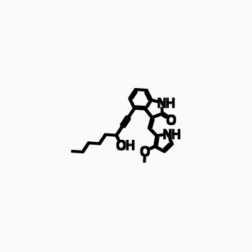 CCCCCC(O)C#Cc1cccc2c1/C(=C/c1[nH]ccc1OC)C(=O)N2